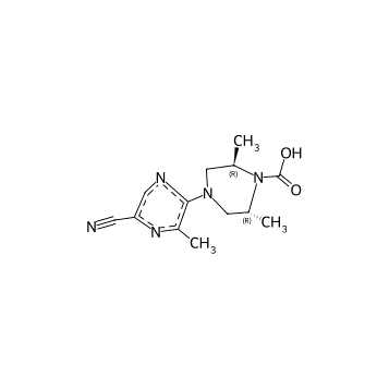 Cc1nc(C#N)cnc1N1C[C@@H](C)N(C(=O)O)[C@H](C)C1